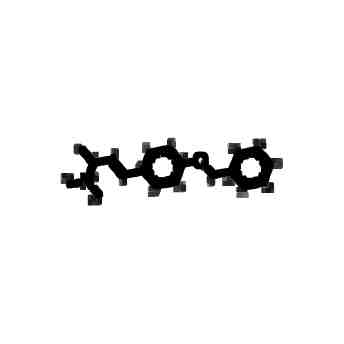 CC(C=Cc1ccc(OCc2ccccc2)cc1)N(C)C